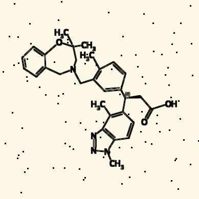 Cc1ccc([C@@H](CC(=O)O)c2ccc3c(nnn3C)c2C)cc1CN1Cc2ccccc2OC(C)(C)C1